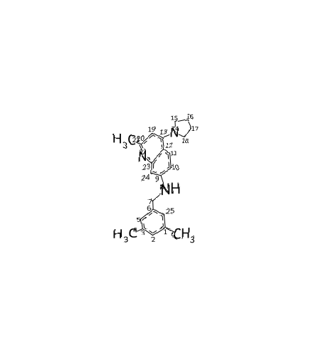 Cc1cc(C)cc(CNc2ccc3c(N4CCCC4)cc(C)nc3c2)c1